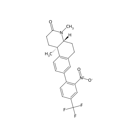 CN1C(=O)CC[C@]2(C)c3ccc(-c4ccc(C(F)(F)F)cc4[N+](=O)[O-])cc3CC[C@@H]12